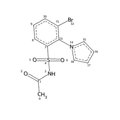 CC(=O)NS(=O)(=O)c1cccc(Br)c1-n1cccc1